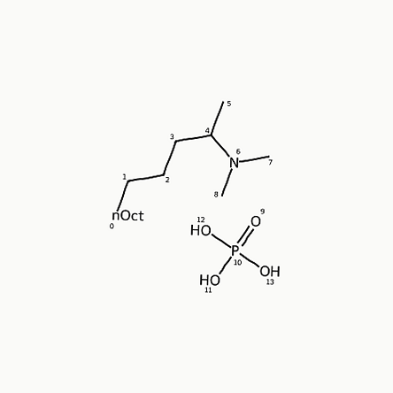 CCCCCCCCCCCC(C)N(C)C.O=P(O)(O)O